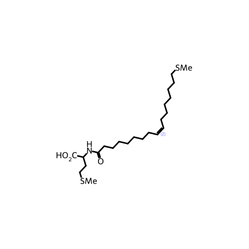 CSCCCCCCC/C=C\CCCCCCCC(=O)NC(CCSC)C(=O)O